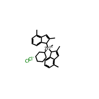 CC1=Cc2c(C)cccc2[CH]1[Zr+2]([CH3])([CH]1CCCCC1)[CH]1C(C)=Cc2c(C)cccc21.[Cl-].[Cl-]